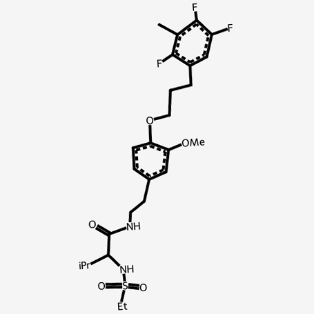 CCS(=O)(=O)NC(C(=O)NCCc1ccc(OCCCc2cc(F)c(F)c(C)c2F)c(OC)c1)C(C)C